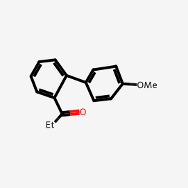 CCC(=O)c1ccccc1-c1ccc(OC)cc1